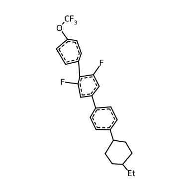 CCC1CCC(c2ccc(-c3cc(F)c(-c4ccc(OC(F)(F)F)cc4)c(F)c3)cc2)CC1